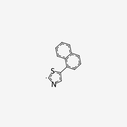 [c]1ncc(-c2cccc3ccccc23)s1